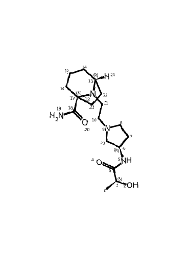 C[C@H](O)C(=O)N[C@@H]1CCN(CCN2[C@@H]3C[CH]C[C@@]2(C(N)=O)CC3)C1